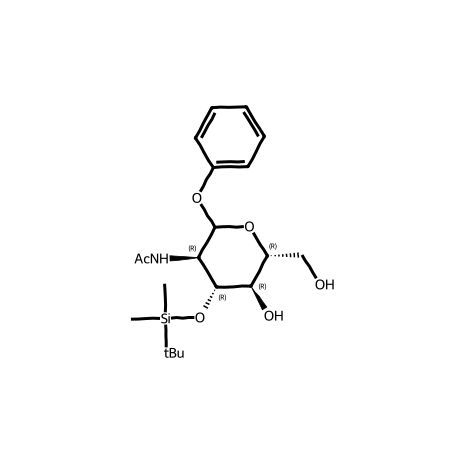 CC(=O)N[C@H]1C(Oc2ccccc2)O[C@H](CO)[C@@H](O)[C@@H]1O[Si](C)(C)C(C)(C)C